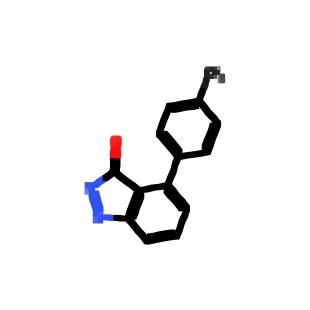 O=C1N=Nc2cccc(-c3ccc(C(F)(F)F)cc3)c21